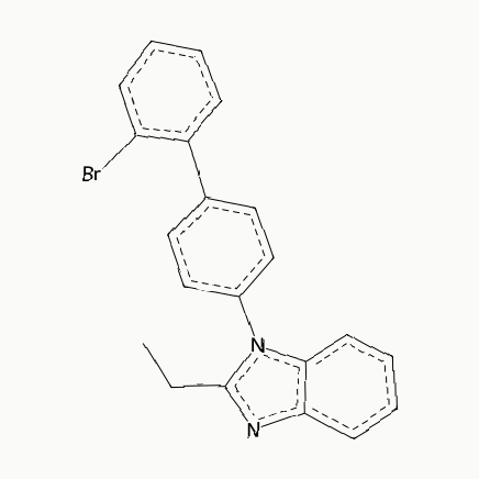 CCc1nc2ccccc2n1-c1ccc(-c2ccccc2Br)cc1